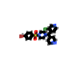 O=S(=O)(c1ccc(Br)cc1)N1CCN(C(c2ccncc2Cl)C2CCNCC2)CC1